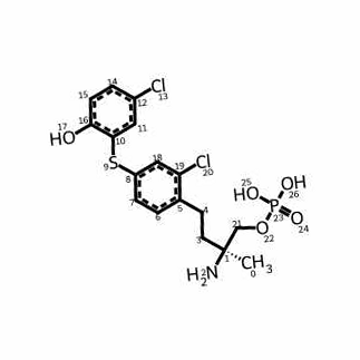 C[C@](N)(CCc1ccc(Sc2cc(Cl)ccc2O)cc1Cl)COP(=O)(O)O